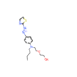 CCCCN(CCOCCO)c1ccc(/N=N/c2nccs2)cc1